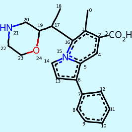 Cc1c(C(=O)O)cc2c(-c3ccccc3)ccn2c1C(C)C1CNCCO1